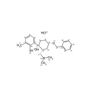 Cc1cccc([C@@]2(O)CC[C@H](OCc3ccccc3)C[C@@H]2CN(C)C)c1S.Cl